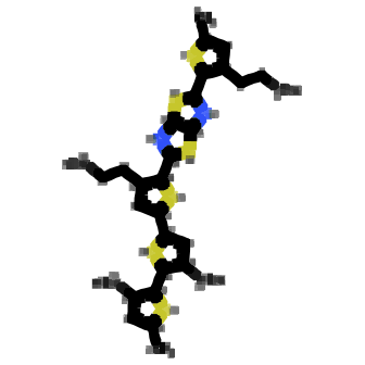 CCCCCCCCCCCCc1cc(C)sc1-c1nc2sc(-c3sc(-c4cc(CCCCCC)c(-c5sc(C)cc5CCCCCC)s4)cc3CCCCCCCCCCCC)nc2s1